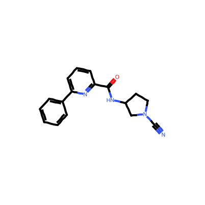 N#CN1CCC(NC(=O)c2cccc(-c3ccccc3)n2)C1